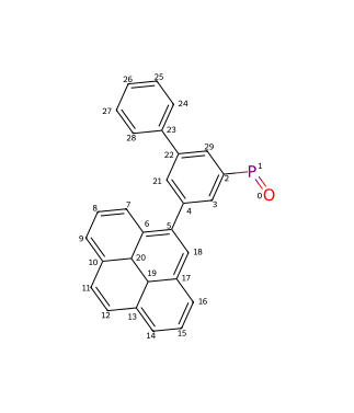 O=Pc1cc(C2=C3C=CC=C4C=CC5=CC=CC(=C2)C5C43)cc(-c2ccccc2)c1